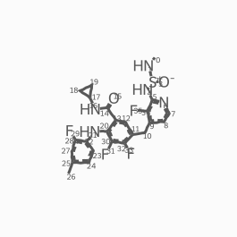 CN[S+]([O-])Nc1nccc(Cc2cc(C(=O)NC3CC3)c(Nc3ccc(C)cc3F)c(F)c2F)c1F